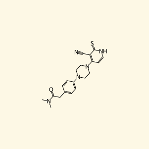 CN(C)C(=O)Cc1ccc(N2CCN(c3cc[nH]c(=S)c3C#N)CC2)cc1